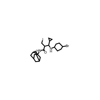 O=C(NC12CC3CC(CC(C3)C1)C2)C(CI)C(NC1CCC(Br)CC1)C1CC1